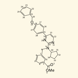 COC(=O)c1cccc(CN(c2nccc(-c3ccc(OCc4ccccc4)cc3)n2)C2CCCC2)c1